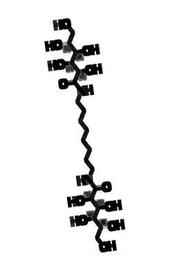 O=C(NCCCCCCCCNC(=O)[C@H](O)[C@@H](O)[C@H](O)[C@H](O)CO)[C@H](O)[C@@H](O)[C@H](O)[C@H](O)CO